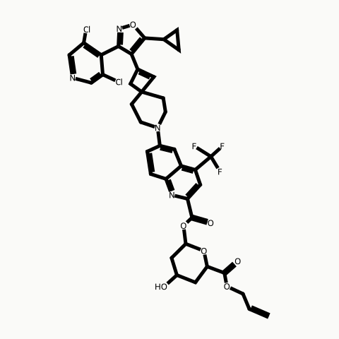 C=CCOC(=O)C1CC(O)CC(OC(=O)c2cc(C(F)(F)F)c3cc(N4CCC5(C=C(c6c(-c7c(Cl)cncc7Cl)noc6C6CC6)C5)CC4)ccc3n2)O1